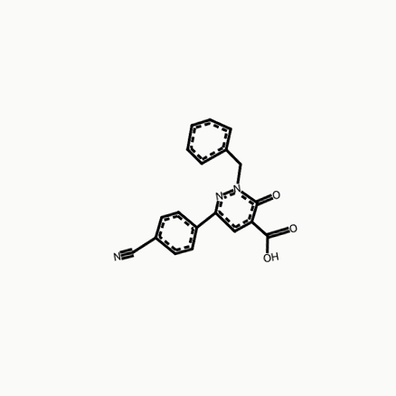 N#Cc1ccc(-c2cc(C(=O)O)c(=O)n(Cc3ccccc3)n2)cc1